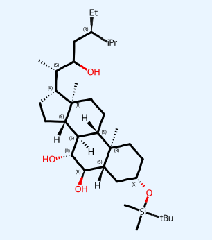 CC[C@H](CC(O)[C@@H](C)[C@H]1CC[C@H]2[C@@H]3[C@@H](O)[C@H](O)[C@H]4C[C@@H](O[Si](C)(C)C(C)(C)C)CC[C@]4(C)[C@H]3CC[C@]12C)C(C)C